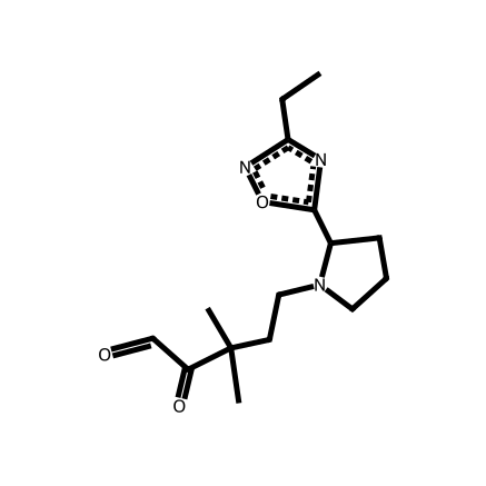 CCc1noc(C2CCCN2CCC(C)(C)C(=O)C=O)n1